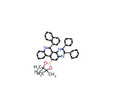 CC1(C)OB(c2cc3nc(-c4ccccc4)c(-c4ccccc4)nc3c3c(-c4cccc5ccccc45)nc4ccccc4c23)OC1(C)C